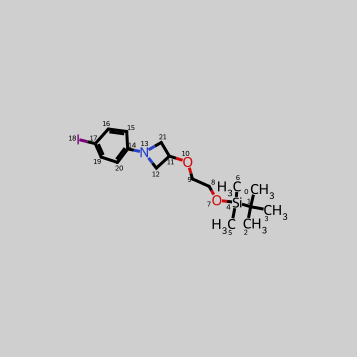 CC(C)(C)[Si](C)(C)OCCOC1CN(c2ccc(I)cc2)C1